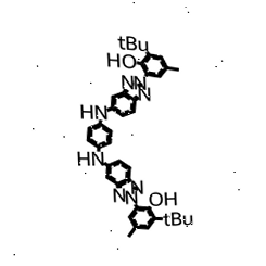 Cc1cc(-n2nc3ccc(Nc4ccc(Nc5ccc6nn(-c7cc(C)cc(C(C)(C)C)c7O)nc6c5)cc4)cc3n2)c(O)c(C(C)(C)C)c1